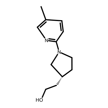 Cc1ccc(N2CC[C@H](CCO)C2)nc1